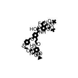 CN(Cc1cc(NC(=O)CCc2cc(C(Nc3ccc4c(N(C(=O)OC(C)(C)C)C(=O)OC(C)(C)C)ncc(F)c4c3)C(=O)O)ccc2OCc2ccccc2)ccc1S(=O)(=O)C1CC1)C(=O)OCC[Si](C)(C)C